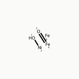 [Fe].[OH][Ni].[O]=[Fe]